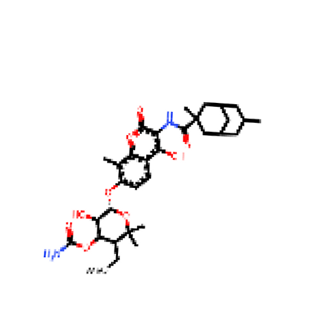 COCC1C(OC(N)=O)C(O)[C@H](Oc2ccc3c(O)c(NC(=O)C4(C)CC5CC(C)CC(C5)C4)c(=O)oc3c2C)OC1(C)C